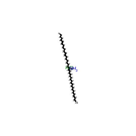 CCCCCCCCCCCCCCCCCCCCCCCCCCCCCCCCCCCCCCCC.Cl.N